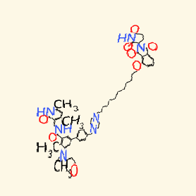 CCN(c1cc(-c2ccc(CN3CCN(CCCCCCCCCCCCOc4cccc5c4C(=O)N(C4CCC(=O)NC4=O)C5=O)CC3)cc2)cc(C(=O)NCc2c(C)cc(C)[nH]c2=O)c1C)C1CCOCC1